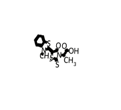 CC(C(=O)O)N1C(=O)C(=C2Sc3ccccc3N2C)SC1=S